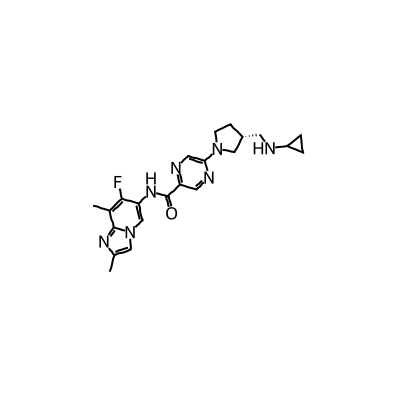 Cc1cn2cc(NC(=O)c3cnc(N4CC[C@H](CNC5CC5)C4)cn3)c(F)c(C)c2n1